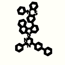 c1ccc(-c2ccc(-c3cc(-n4c5cccc(-c6ccc7c(c6)Sc6ccccc6N7c6ccccc6)c5c5c6ccccc6ccc54)nc(-c4ccccc4)n3)cc2)cc1